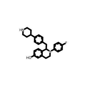 Oc1ccc2c(c1)CCN(c1ccc(F)cc1)C2Cc1ccc(C2CCNCC2)cc1